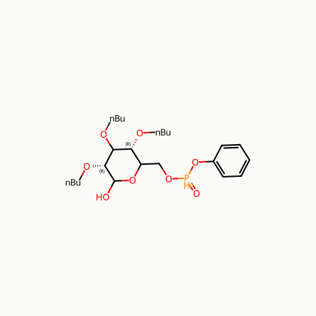 CCCCOC1[C@H](OCCCC)C(CO[PH](=O)Oc2ccccc2)OC(O)[C@@H]1OCCCC